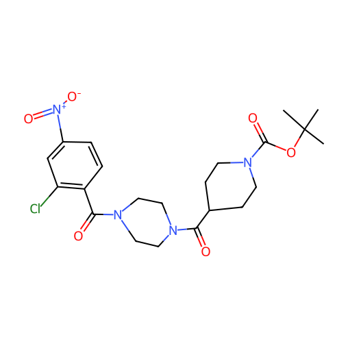 CC(C)(C)OC(=O)N1CCC(C(=O)N2CCN(C(=O)c3ccc([N+](=O)[O-])cc3Cl)CC2)CC1